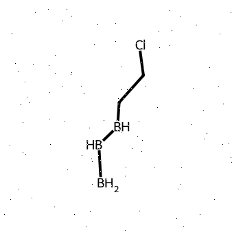 BBBCCCl